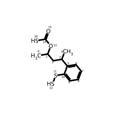 CC(CC(C)c1ccccc1SS)OC(=O)S